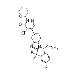 NCC(c1ccc(F)cc1C(F)(F)F)n1cnc2c1CCN(c1cnn(C3CCCCO3)c(=O)c1Cl)C2